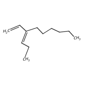 C=CC(=CCC)CCCCCC